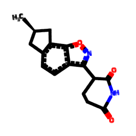 C[C@@H]1Cc2ccc3c(C4CCC(=O)NC4=O)noc3c2C1